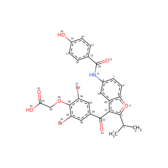 CC(C)c1oc2ccc(NC(=O)c3ccc(O)cc3)cc2c1C(=O)c1cc(Br)c(OCC(=O)O)c(Br)c1